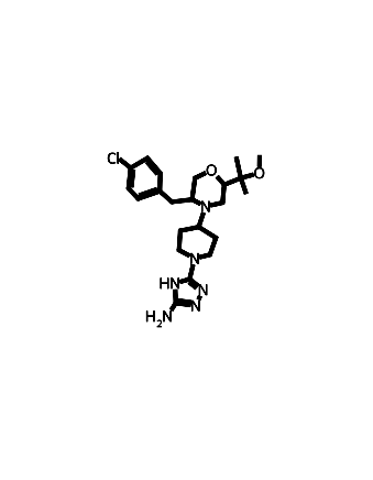 COC(C)(C)C1CN(C2CCN(c3nnc(N)[nH]3)CC2)C(Cc2ccc(Cl)cc2)CO1